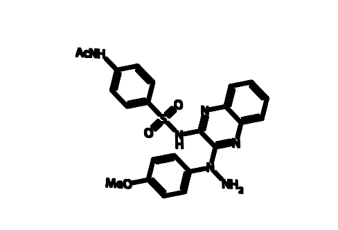 COc1ccc(N(N)c2nc3ccccc3nc2NS(=O)(=O)c2ccc(NC(C)=O)cc2)cc1